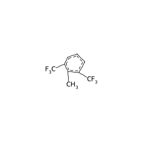 Cc1c(C(F)(F)F)cccc1C(F)(F)F